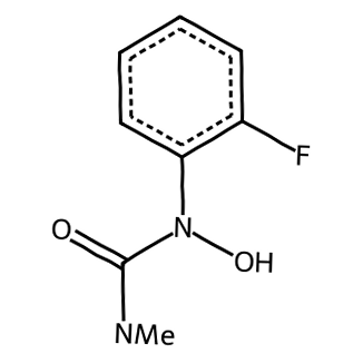 CNC(=O)N(O)c1ccccc1F